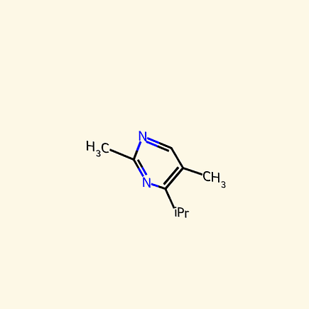 Cc1ncc(C)c(C(C)C)n1